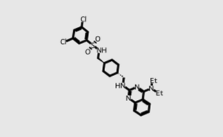 CCN(CC)c1nc(NC[C@H]2CC[C@H](CNS(=O)(=O)c3cc(Cl)cc(Cl)c3)CC2)nc2ccccc12